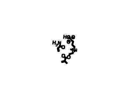 C=C(C)C(=O)OCC[N+](C)(C)CCCS(=O)(=O)O.C=CC(N)=O